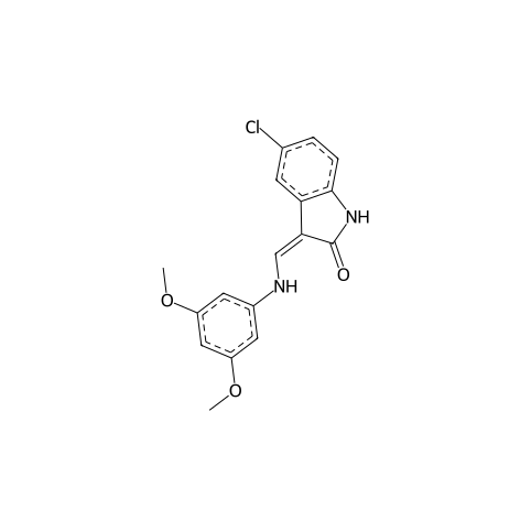 COc1cc(NC=C2C(=O)Nc3ccc(Cl)cc32)cc(OC)c1